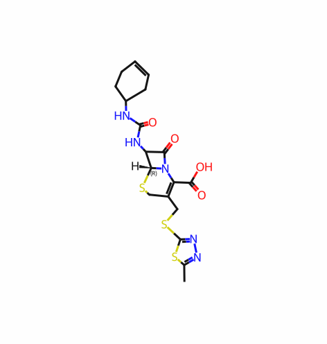 Cc1nnc(SCC2=C(C(=O)O)N3C(=O)C(NC(=O)NC4CC=CCC4)[C@H]3SC2)s1